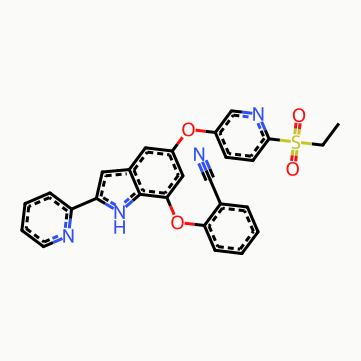 CCS(=O)(=O)c1ccc(Oc2cc(Oc3ccccc3C#N)c3[nH]c(-c4ccccn4)cc3c2)cn1